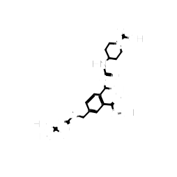 COC(=O)c1cc(CNC(=O)OC(C)(C)C)ccc1C(C)OC(=O)NC1CCN(C(=O)O)CC1